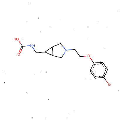 O=C(O)NCC1C2CN(CCOc3ccc(Br)cc3)CC12